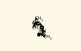 CCOC(=O)C1(C(=O)OCC)CCN(Cc2ccc(-c3noc(/C(=N\OC)c4ccco4)n3)cc2)CC1